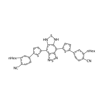 CCCCCCc1cc(-c2ccc(-c3c4c(c(-c5ccc(-c6ccc(C#N)c(CCCCCC)c6)s5)c5nsnc35)NSN4)s2)ccc1C#N